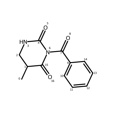 CC1CNC(=O)N(C(=O)c2ccccc2)C1=O